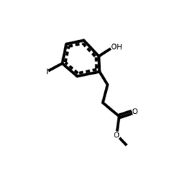 COC(=O)CCc1cc(I)ccc1O